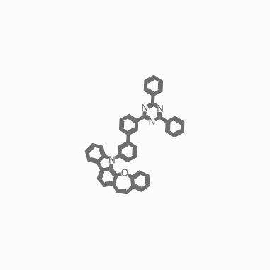 C1=Cc2ccc3c4ccccc4n(-c4cccc(-c5cccc(-c6nc(-c7ccccc7)nc(-c7ccccc7)n6)c5)c4)c3c2Oc2ccccc21